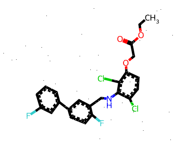 CCOC(=O)COc1ccc(Cl)c(NCc2cc(-c3cccc(F)c3)ccc2F)c1Cl